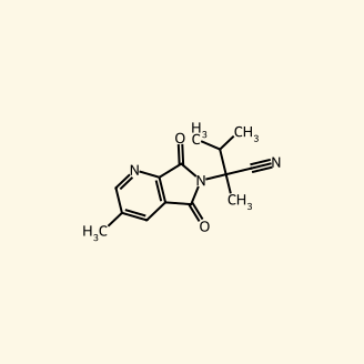 Cc1cnc2c(c1)C(=O)N(C(C)(C#N)C(C)C)C2=O